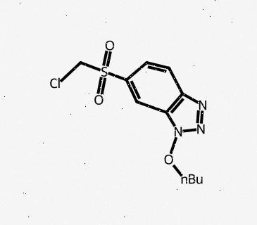 CCCCOn1nnc2ccc(S(=O)(=O)CCl)cc21